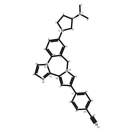 CN(C)[C@@H]1CCN(c2ccc3c(c2)Cn2cc(-c4ccc(C#N)cc4)cc2-c2nccn2-3)C1